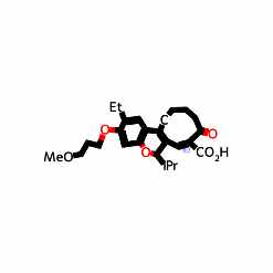 CCc1cc2c(cc1OCCCOC)OC(C(C)C)C1=C2CCCCC(=O)/C(C(=O)O)=C\1